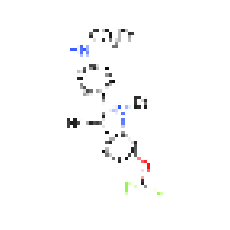 CCOC(=O)Nc1ccc(C2C(C#N)c3ccc(OC(F)F)cc3N2CC)cc1